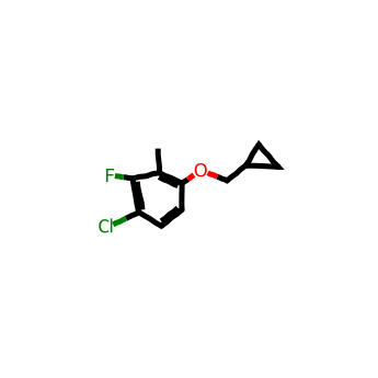 Cc1c(OCC2CC2)ccc(Cl)c1F